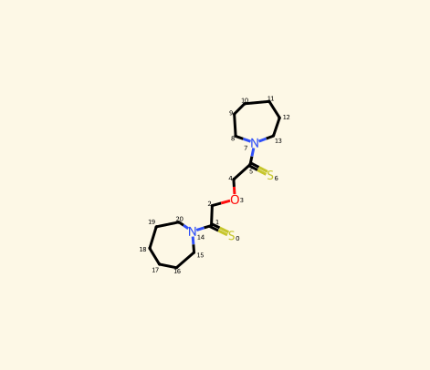 S=C(COCC(=S)N1CCCCCC1)N1CCCCCC1